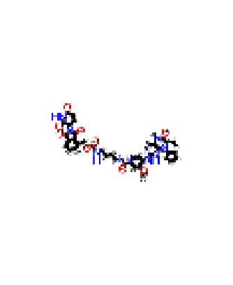 CC[C@@H]1C(=O)N(C)c2cnc(Nc3ccc(C(=O)NCCCCNC(=O)OCc4cccc5c4C(=O)N(C4CCC(=O)NC4=O)C5=O)cc3OC)nc2N1C1CCCC1